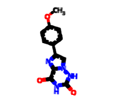 COc1ccc(-c2cn3[nH]c(=O)[nH]c(=O)c3n2)cc1